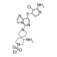 CCS(=O)(=O)N1CCC2(CCN(c3ncc(Sc4ccnc(N)c4Cl)c4nccn34)CC2)C(N)C1